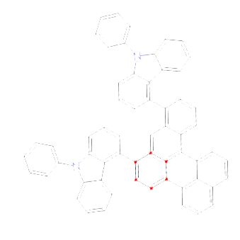 c1ccc(-c2cccc3cccc(-c4c5cccc(-c6cccc7c6c6ccccc6n7-c6ccccc6)c5cc5c(-c6cccc7c6c6ccccc6n7-c6ccccc6)cccc45)c23)cc1